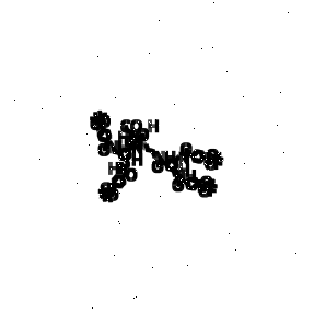 CC1(C)OB(c2ccc(C(=O)NCc3cc(CNC(=O)c4ccc(B5OC(C)(C)C(C)(C)O5)cc4)cc(C(=O)NCCCC[C@H](NC(=O)c4cc(CNC(=O)c5ccc(B6OC(C)(C)C(C)(C)O6)cc5)cc(CNC(=O)c5ccc(B6OC(C)(C)C(C)(C)O6)cc5)c4)C(=O)NCCC(=O)O)c3)cc2)OC1(C)C